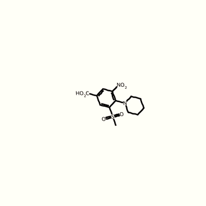 CS(=O)(=O)c1cc(C(=O)O)cc([N+](=O)[O-])c1N1CCCCC1